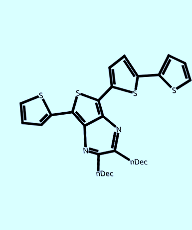 CCCCCCCCCCc1nc2c(-c3cccs3)sc(-c3ccc(-c4cccs4)s3)c2nc1CCCCCCCCCC